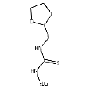 CC(C)(C)NC(=S)NCC1CCCO1